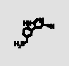 BCc1ccc2[nH]c3cnc(C#N)cc3c2c1